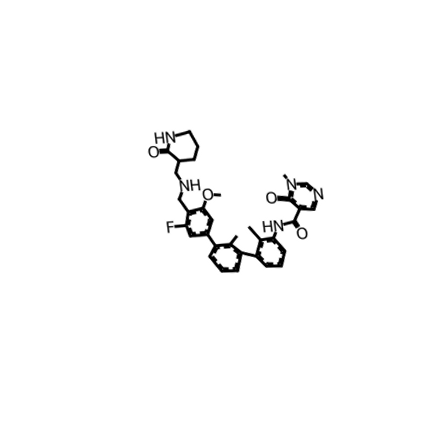 COc1cc(-c2cccc(-c3cccc(NC(=O)c4cncn(C)c4=O)c3C)c2C)cc(F)c1CNCC1CCCNC1=O